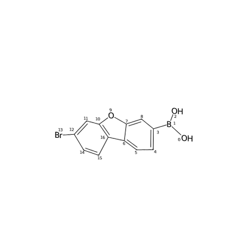 OB(O)c1ccc2c(c1)oc1cc(Br)ccc12